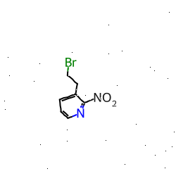 O=[N+]([O-])c1ncccc1CCBr